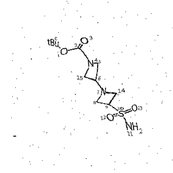 CC(C)(C)OC(=O)N1CC(N2CC(S(N)(=O)=O)C2)C1